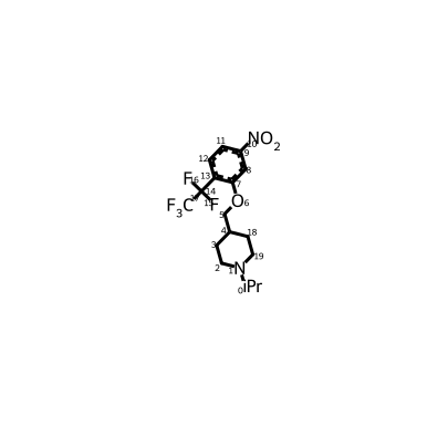 CC(C)N1CCC(COc2cc([N+](=O)[O-])ccc2C(F)(F)C(F)(F)F)CC1